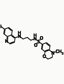 CN1CCOc2cc(S(=O)(=O)NCCCNc3ccnc4cc(I)ccc34)ccc21